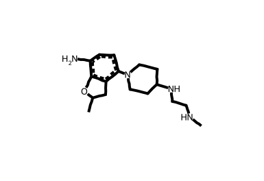 CNCCNC1CCN(c2ccc(N)c3c2CC(C)O3)CC1